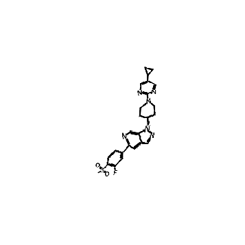 CS(=O)(=O)c1ccc(-c2cc3cnn(C4CCN(c5ncc(C6CC6)cn5)CC4)c3cn2)cc1F